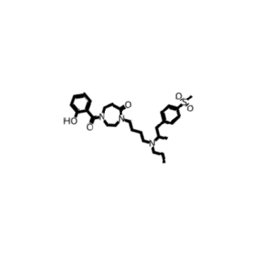 CCCN(CCCCN1CCN(C(=O)c2ccccc2O)CCC1=O)C(C)Cc1ccc(S(C)(=O)=O)cc1